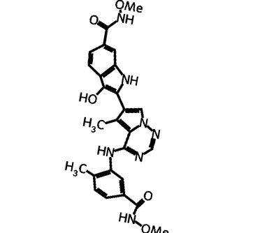 CONC(=O)c1ccc(C)c(Nc2ncnn3cc(-c4[nH]c5cc(C(=O)NOC)ccc5c4O)c(C)c23)c1